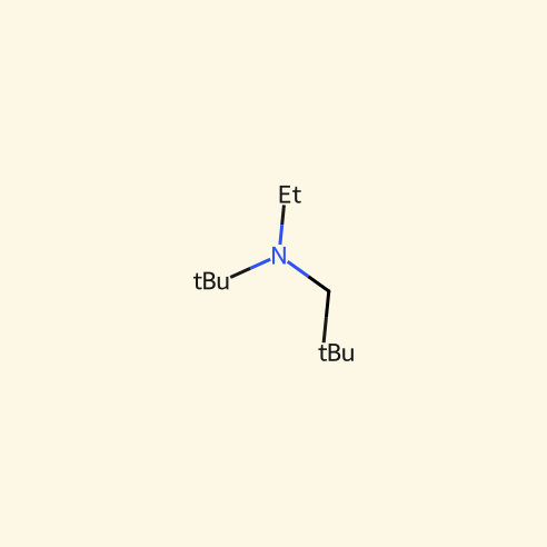 CCN(CC(C)(C)C)C(C)(C)C